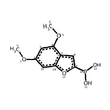 COc1cc(OC)c2cc(B(O)O)oc2c1